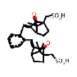 CC1(C)C2CCC1(CS(=O)(=O)O)C(=O)C2=Cc1ccccc1C=C1C(=O)C2(CS(=O)(=O)O)CCC1C2(C)C